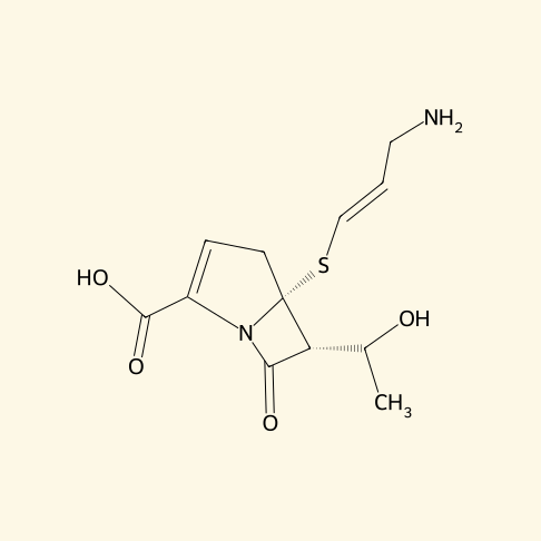 CC(O)[C@@H]1C(=O)N2C(C(=O)O)=CC[C@@]12SC=CCN